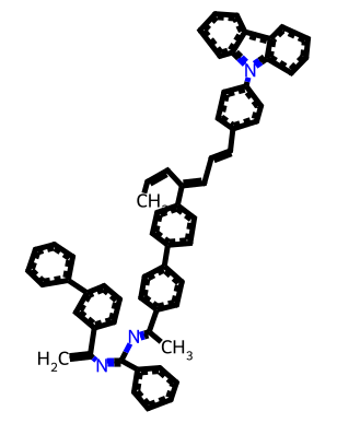 C=C(/N=C(\N=C(/C)c1ccc(-c2ccc(C(/C=C\C)=C/C=C/c3ccc(-n4c5ccccc5c5ccccc54)cc3)cc2)cc1)c1ccccc1)c1cccc(-c2ccccc2)c1